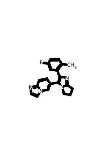 Cc1ccc(F)cc1-c1nc2n(c1-c1ccc3nccn3c1)CCC2